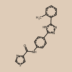 Cc1ccccc1-c1nnc(-c2ccc(NC(=O)c3cscn3)cc2)[nH]1